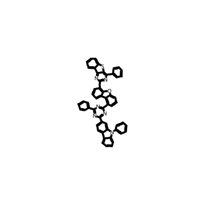 c1ccc(-c2nc(-c3ccc4c5ccccc5n(-c5ccccc5)c4c3)nc(-c3cccc4oc5c(-c6nc(-c7ccccc7)c7sc8ccccc8c7n6)cccc5c34)n2)cc1